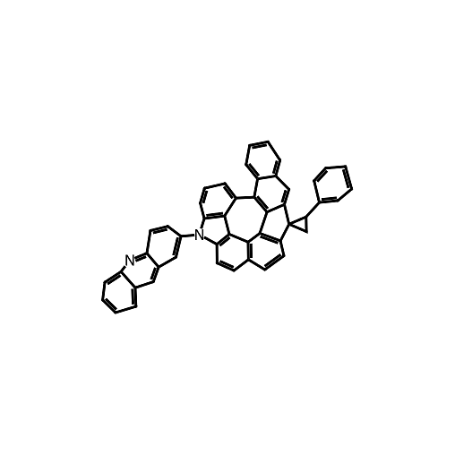 c1ccc(C2CC23c2cc4ccccc4c4c2-c2c3ccc3ccc5c(c23)c2c-4cccc2n5-c2ccc3nc4ccccc4cc3c2)cc1